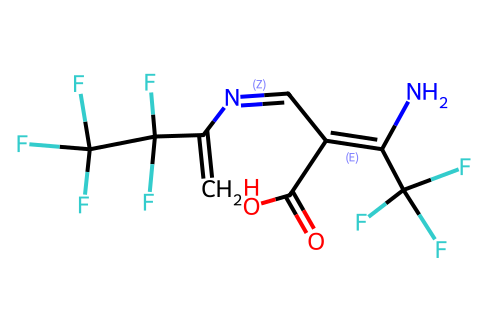 C=C(/N=C\C(C(=O)O)=C(/N)C(F)(F)F)C(F)(F)C(F)(F)F